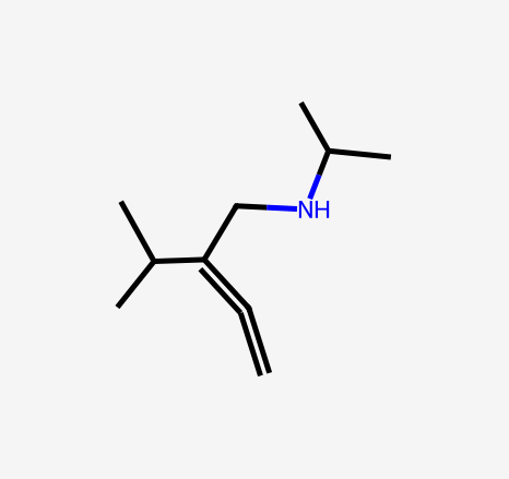 C=C=C(CNC(C)C)C(C)C